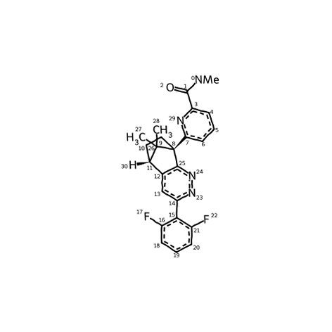 CNC(=O)c1cccc([C@@]23CC[C@@H](c4cc(-c5c(F)cccc5F)nnc42)C3(C)C)n1